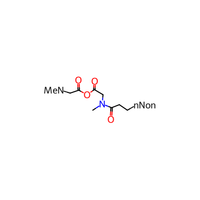 CCCCCCCCCCCC(=O)N(C)CC(=O)OC(=O)CNC